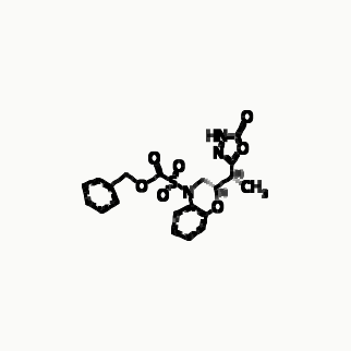 C[C@@H](c1n[nH]c(=O)o1)[C@H]1CN(S(=O)(=O)C(=O)OCc2ccccc2)c2ccccc2O1